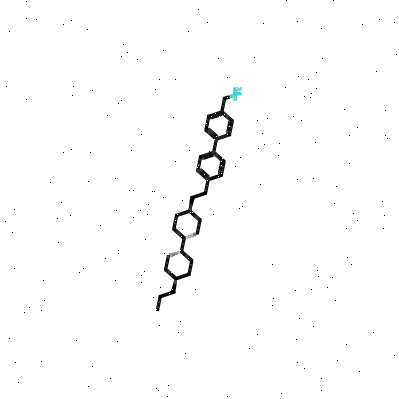 CCC[C@H]1CC[C@H]([C@H]2CC[C@H](CCc3ccc(-c4ccc(CF)cc4)cc3)CC2)CC1